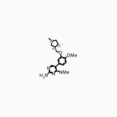 CNc1nc(N)ncc1-c1ccc(OC)c(OC[C@H]2CN(C)C[C@@H]2C)c1